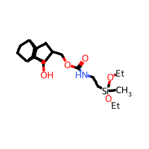 CCO[Si](C)(CCNC(=O)OCC1CC2C3CCC(C(CO)C3)C2C1)OCC